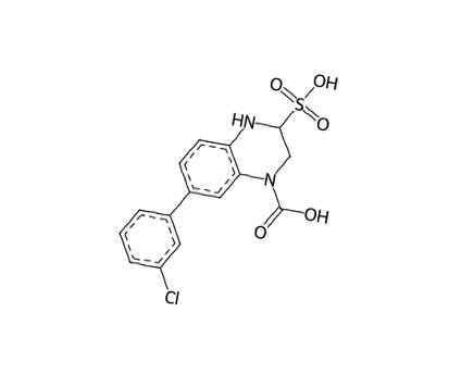 O=C(O)N1CC(S(=O)(=O)O)Nc2ccc(-c3cccc(Cl)c3)cc21